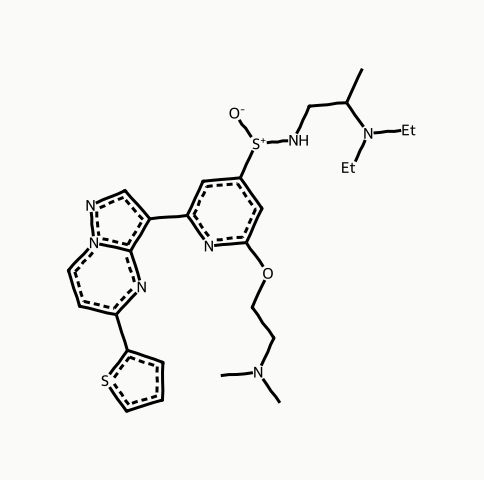 CCN(CC)C(C)CN[S+]([O-])c1cc(OCCN(C)C)nc(-c2cnn3ccc(-c4cccs4)nc23)c1